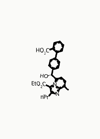 CCCc1nc2c(C)ccc([C@H](O)c3ccc(-c4ccccc4C(=O)O)cc3)n2c1C(=O)OCC